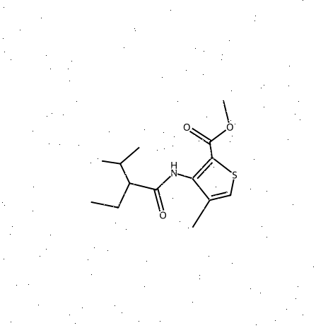 CCC(C(=O)Nc1c(C)csc1C(=O)OC)C(C)C